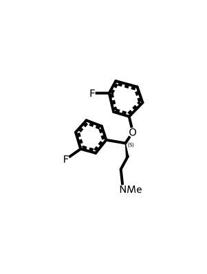 CNCC[C@H](Oc1cccc(F)c1)c1cccc(F)c1